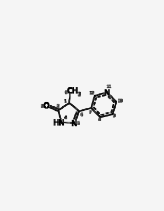 CC1C(=O)NN=C1c1cccnc1